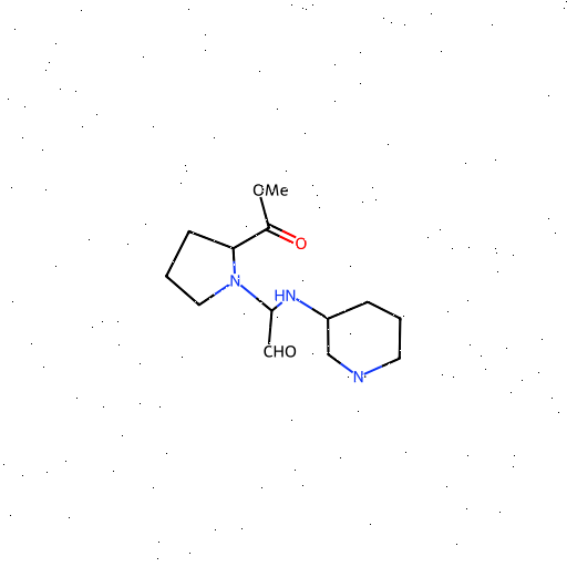 COC(=O)C1CCCN1C(C=O)NC1CCC[N]C1